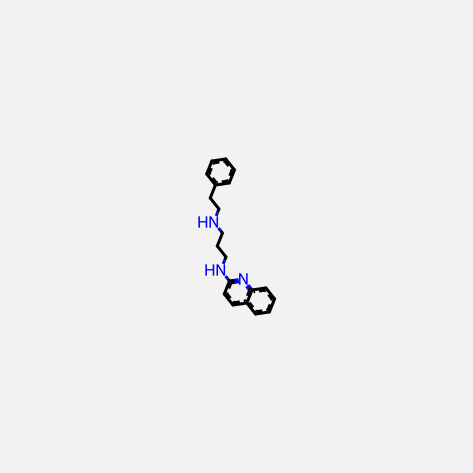 c1ccc(CCNCCCNc2ccc3ccccc3n2)cc1